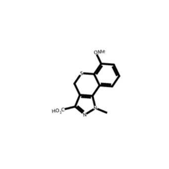 COc1cccc2c1SCc1c(C(=O)O)nn(C)c1-2